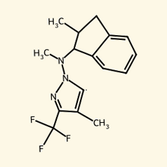 Cc1[c]n(N(C)C2c3ccccc3CC2C)nc1C(F)(F)F